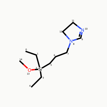 CC[Si](CC)(CCCN1C=NCC1)OC